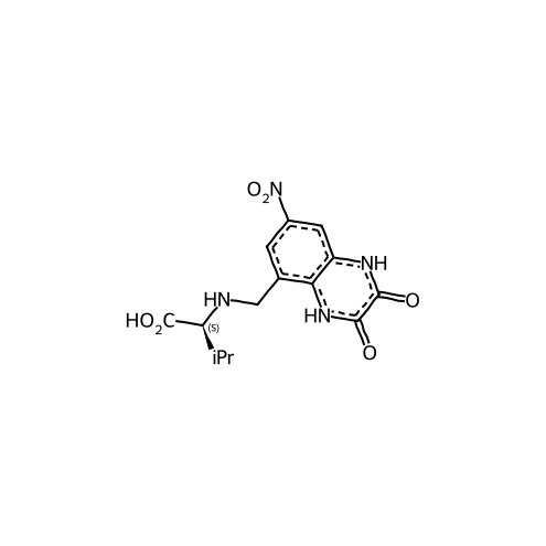 CC(C)[C@H](NCc1cc([N+](=O)[O-])cc2[nH]c(=O)c(=O)[nH]c12)C(=O)O